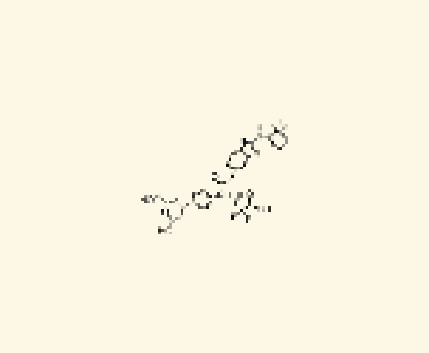 Cc1ccccc1Nc1nc2ccc(CC(=O)Nc3ccc(C(CCCO)CC(=O)O)cc3)cc2[nH]1.O=C(O)C(F)(F)F.[LiH]